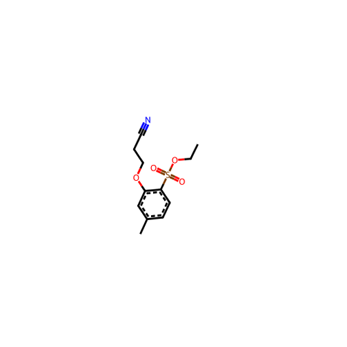 CCOS(=O)(=O)c1ccc(C)cc1OCCC#N